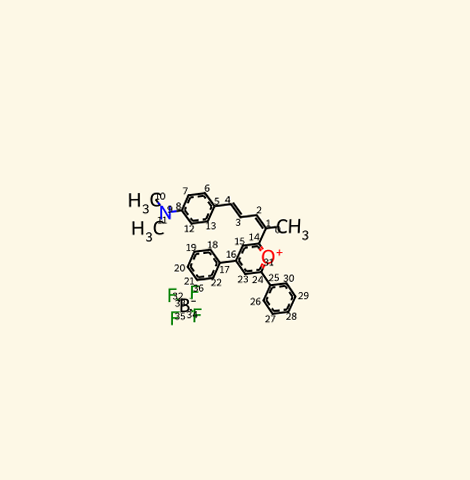 CC(=CC=Cc1ccc(N(C)C)cc1)c1cc(-c2ccccc2)cc(-c2ccccc2)[o+]1.F[B-](F)(F)F